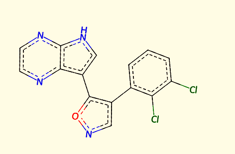 Clc1cccc(-c2cnoc2-c2c[nH]c3nccnc23)c1Cl